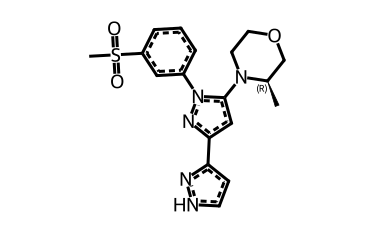 C[C@@H]1COCCN1c1cc(-c2cc[nH]n2)nn1-c1cccc(S(C)(=O)=O)c1